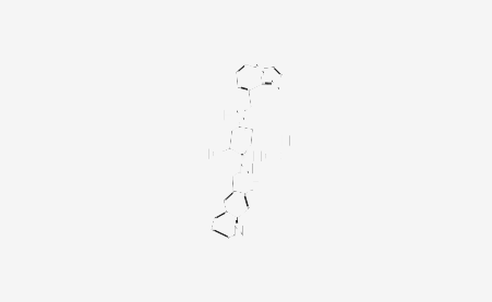 Cl.Cl.OC1C[C@@H](NCc2cccn3ccnc23)CC[C@@H]1NCc1cc2cccnc2cc1F